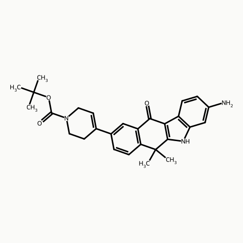 CC(C)(C)OC(=O)N1CC=C(c2ccc3c(c2)C(=O)c2c([nH]c4cc(N)ccc24)C3(C)C)CC1